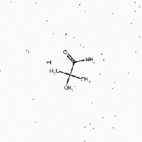 CC(C)(C)C(N)=O.I